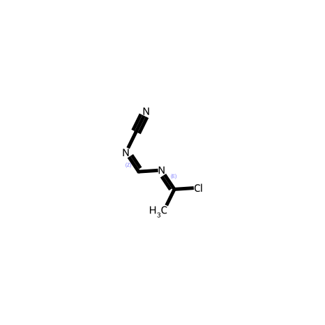 C/C(Cl)=N\C=N/C#N